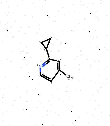 FC(F)(F)c1ccnc(C2CC2)c1